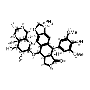 COc1cc([C@@H]2c3cc4c(cc3C(O[C@@H]3O[C@@H]5CO[C@@H](C)O[C@H]5[C@H](O)[C@H]3O)C3COC(=O)[C@@H]32)OCO4)cc(OC)c1O.P